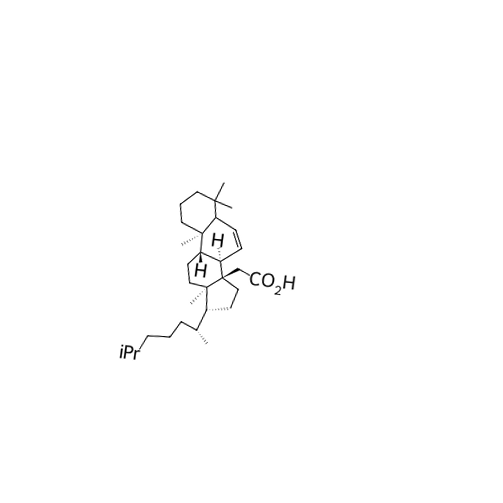 CC(C)CCC[C@@H](C)[C@H]1CC[C@@]2(CC(=O)O)[C@@H]3C=CC4C(C)(C)CCC[C@]4(C)[C@H]3CC[C@]12C